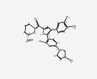 CN[C@@H]1CCCN(C(=O)c2cc(-c3ccc(C#N)c(F)c3)c(-c3ccc(N4CC[C@H](O)C4)cc3F)s2)C1